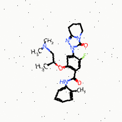 Cc1ccccc1NC(=O)c1cc(F)c(-n2nc3n(c2=O)CCCC3)cc1O[C@@H](C)CN(C)C